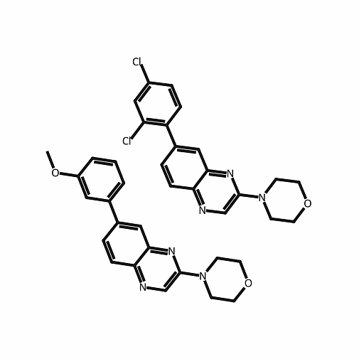 COc1cccc(-c2ccc3ncc(N4CCOCC4)nc3c2)c1.Clc1ccc(-c2ccc3ncc(N4CCOCC4)nc3c2)c(Cl)c1